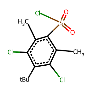 Cc1c(Cl)c(C(C)(C)C)c(Cl)c(C)c1S(=O)(=O)Cl